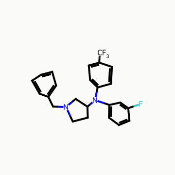 Fc1cccc(N(c2ccc(C(F)(F)F)cc2)C2CCN(Cc3ccccc3)C2)c1